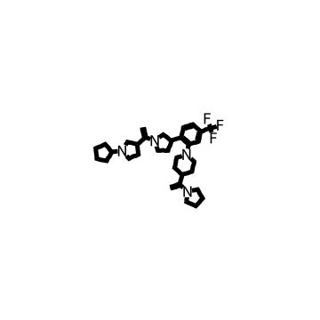 C=C(C1CCN(c2cc(C(F)(F)F)ccc2C2CCN(C(=C)C3CCN(C4CCCC4)C3)C2)CC1)N1CCCC1